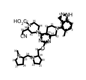 Cc1ccc2[nH]ncc2c1N1CCc2c(nc(OCC3CCCN3CC3CCCN3C)nc2N2CCN(C(=O)O)C(CC#N)C2)C1